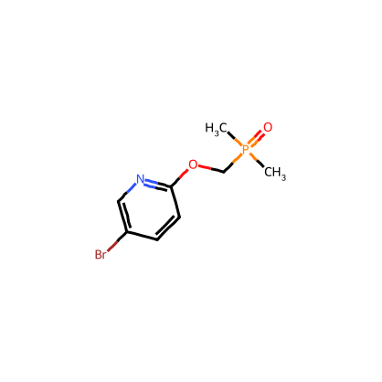 CP(C)(=O)COc1ccc(Br)cn1